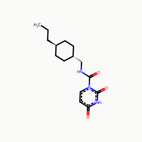 CCC[C@H]1CC[C@H](CNC(=O)n2ccc(=O)[nH]c2=O)CC1